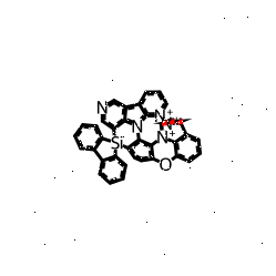 c1ccc2c(c1)-c1ccccc1[Si]21c2ccc3c4c2-n2c5c1cncc5c1ccc[n+](c12)[N+]41c2c(cccc2-c2cccc[n+]21)O3